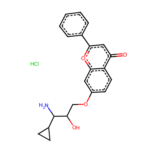 Cl.NC(C(O)COc1ccc2c(=O)cc(-c3ccccc3)oc2c1)C1CC1